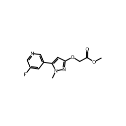 COC(=O)COc1cc(-c2cncc(F)c2)n(C)n1